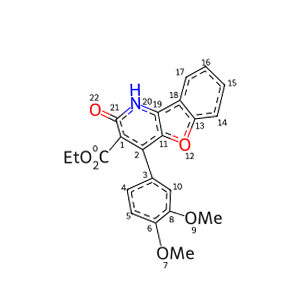 CCOC(=O)c1c(-c2ccc(OC)c(OC)c2)c2oc3ccccc3c2[nH]c1=O